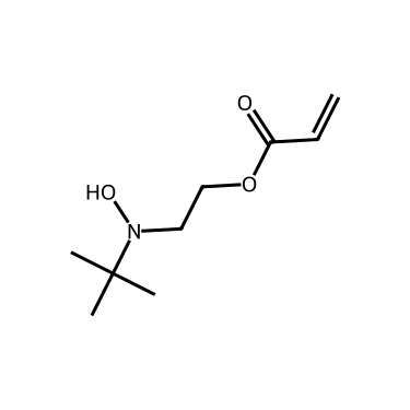 C=CC(=O)OCCN(O)C(C)(C)C